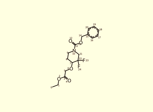 CCOC(=O)COC1CCN(C(=O)OCc2ccccc2)CC1(F)F